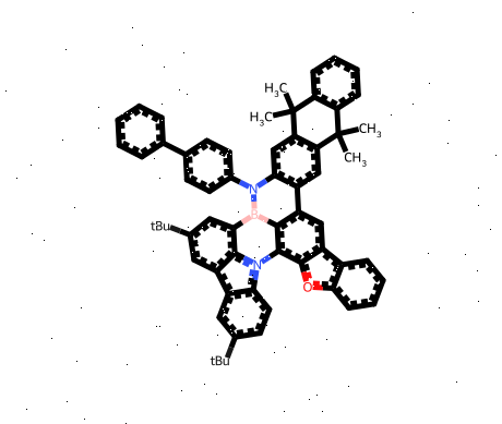 CC(C)(C)c1ccc2c(c1)c1cc(C(C)(C)C)cc3c1n2-c1c2c(cc4c1oc1ccccc14)-c1cc4c(cc1N(c1ccc(-c5ccccc5)cc1)B23)C(C)(C)c1ccccc1C4(C)C